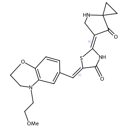 COCCN1CCOc2ccc(/C=c3\s/c(=C4\CNC5(CC5)C4=O)[nH]c3=O)cc21